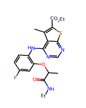 CCNC(=O)C(C)Oc1cc(F)ccc1Nc1ncnc2sc(C(=O)OCC)c(C)c12